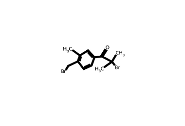 Cc1cc(C(=O)C(C)(C)Br)ccc1CBr